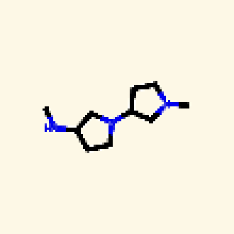 CNC1CCN(C2CCN(C)C2)C1